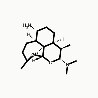 C[C@H]1[C@H](N(C)C)O[C@@H]2OC3(C)CC[C@H]4[C@H](N)CC[C@@H]1[C@@]24OO3